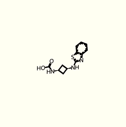 O=C(O)N[C@H]1C[C@@H](Nc2nc3ccccc3s2)C1